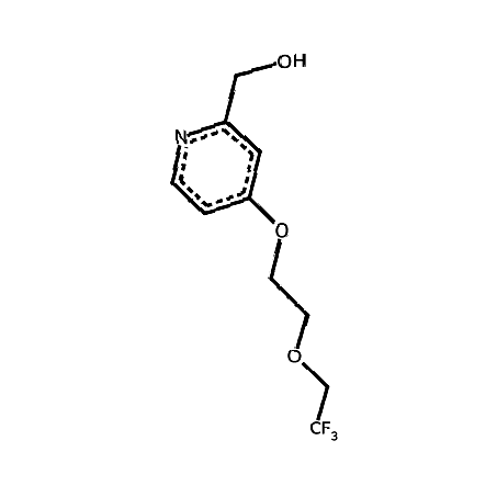 OCc1cc(OCCOCC(F)(F)F)ccn1